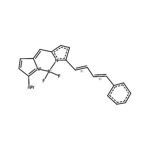 CCCC1=[N+]2C(=Cc3ccc(/C=C/C=C/c4ccccc4)n3[B-]2(F)F)C=C1